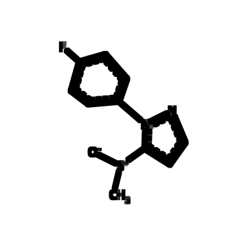 C[S+]([O-])c1ccnn1-c1ccc(F)cc1